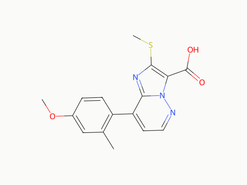 COc1ccc(-c2ccnn3c(C(=O)O)c(SC)nc23)c(C)c1